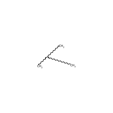 C=CCCCCC=CC(=CCCCCCCCCCCCCCC)CCCCCCCCC=C